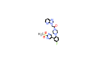 CS(=O)(=O)c1ncc(-c2cc(F)ccc2N2CCN(C(=O)Cn3cnc4cccnc43)CC2)cn1